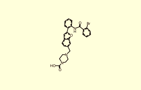 O=C(Nc1ccccc1-c1cc2ccc(CN3CCN(C(=O)O)CC3)cc2o1)c1ccccc1Br